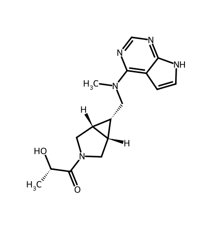 C[C@H](O)C(=O)N1C[C@@H]2[C@H](C1)[C@@H]2CN(C)c1ncnc2[nH]ccc12